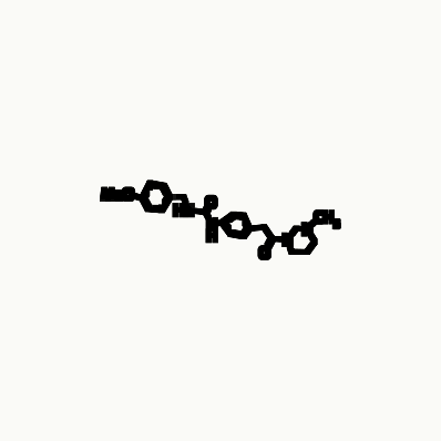 COc1ccc(CNC(=O)Nc2ccc(CC(=O)N3CCCN(C)C3)cc2)cc1